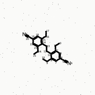 CCc1cc(C#N)cc(CC)c1CCc1c(CC)cc(C#N)cc1CC